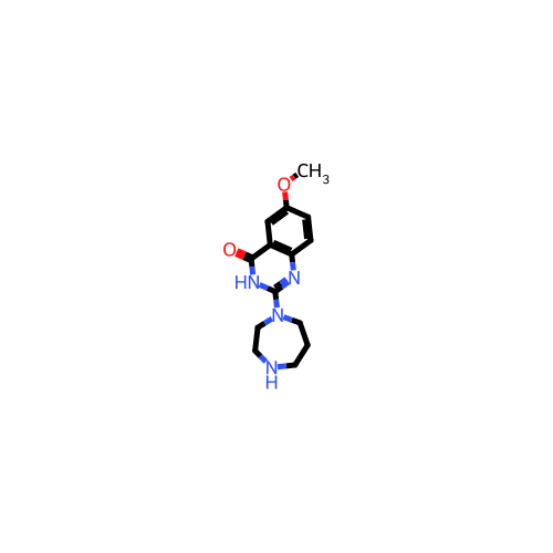 COc1ccc2nc(N3CCCNCC3)[nH]c(=O)c2c1